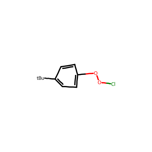 CC(C)(C)c1ccc(OOCl)cc1